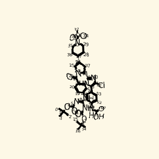 CC(C)(C)OC(=O)N=C(NC(=O)OC(C)(C)C)Nc1ccc(C(=O)N2C[C@H](C3CCN(S(C)(=O)=O)CC3)C[C@@H]2c2nc(Cl)c(-c3ccc(NC(=O)O)cc3)[nH]2)cc1